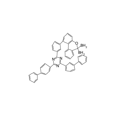 BC1(B)Oc2cccc(-c3cccc(-c4nc(-c5ccc(-c6ccccc6)cc5)nc(-c5cccc(-c6ccccc6)c5)n4)c3)c2-c2ccccc21